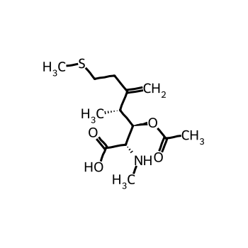 C=C(CCSC)[C@@H](C)[C@@H](OC(C)=O)[C@H](NC)C(=O)O